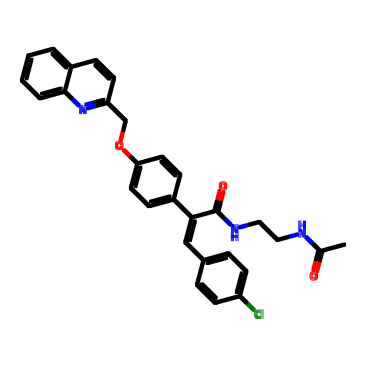 CC(=O)NCCNC(=O)C(=Cc1ccc(Cl)cc1)c1ccc(OCc2ccc3ccccc3n2)cc1